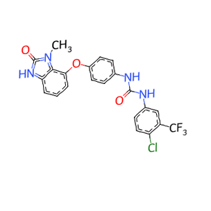 Cn1c(=O)[nH]c2cccc(Oc3ccc(NC(=O)Nc4ccc(Cl)c(C(F)(F)F)c4)cc3)c21